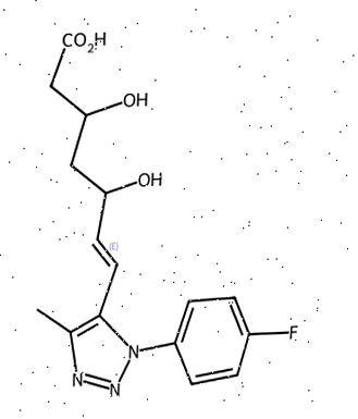 Cc1nnn(-c2ccc(F)cc2)c1/C=C/C(O)CC(O)CC(=O)O